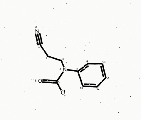 N#CCCN(C(=O)Cl)c1ccccc1